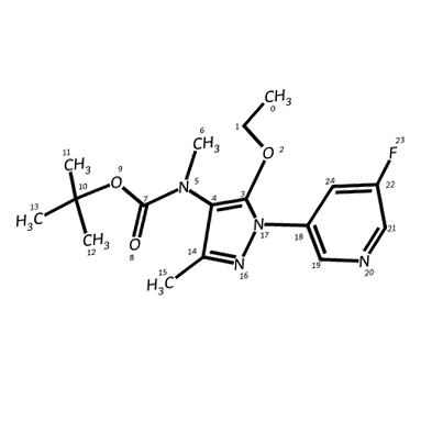 CCOc1c(N(C)C(=O)OC(C)(C)C)c(C)nn1-c1cncc(F)c1